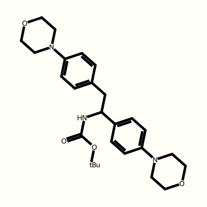 CC(C)(C)OC(=O)NC(Cc1ccc(N2CCOCC2)cc1)c1ccc(N2CCOCC2)cc1